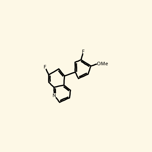 COc1ccc(-c2cc(F)cc3ncccc23)cc1F